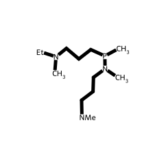 CCN(C)CCCP(C)N(C)CCCNC